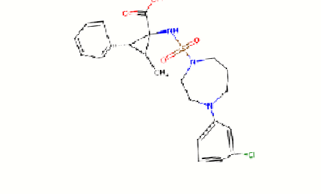 CC1[C@H](c2ccccc2)[C@]1(NS(=O)(=O)N1CCCN(c2cccc(Cl)c2)CC1)C(=O)O